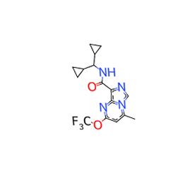 Cc1cc(OC(F)(F)F)nc2c(C(=O)NC(C3CC3)C3CC3)ncn12